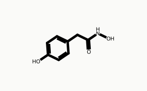 O=C(Cc1ccc(O)cc1)NO